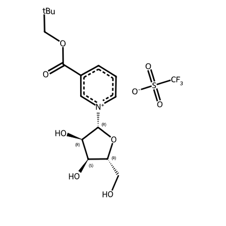 CC(C)(C)COC(=O)c1ccc[n+]([C@@H]2O[C@H](CO)[C@@H](O)[C@H]2O)c1.O=S(=O)([O-])C(F)(F)F